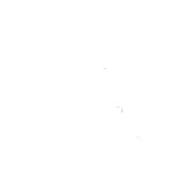 Cc1cc(-n2c(C3CCOCC3)c(C3CCC3(C(=O)O)C(F)F)c3cc(OCc4ccccc4)ccc32)ccc1F